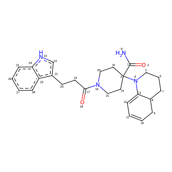 NC(=O)C1(N2CCCC3CC=CC=C32)CCN(C(=O)CCc2c[nH]c3ccccc23)CC1